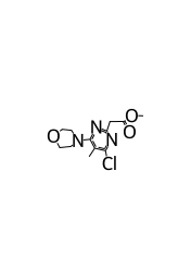 COC(=O)Cc1nc(Cl)c(C)c(N2CCOCC2)n1